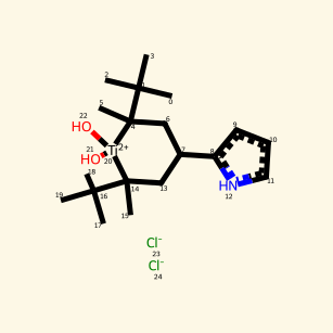 CC(C)(C)[C]1(C)CC(c2ccc[nH]2)C[C](C)(C(C)(C)C)[Ti+2]1([OH])[OH].[Cl-].[Cl-]